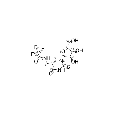 O=C(NCc1cn([C@@H]2O[C@H](CO)[C@@H](O)[C@H]2O)c(=S)[nH]c1=O)C(F)(F)F